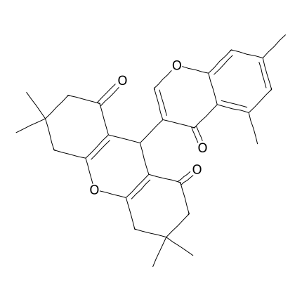 Cc1cc(C)c2c(=O)c(C3C4=C(CC(C)(C)CC4=O)OC4=C3C(=O)CC(C)(C)C4)coc2c1